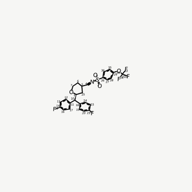 O=S(=O)([N+]#CC1CCO[C@H](C(c2ccc(F)cc2)c2ccc(F)cc2)C1)c1ccc(OC(F)(F)F)cc1